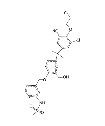 CC(C)(c1cc(Cl)c(OCCCl)c(C#N)c1)c1ccc(OCc2ccnc(NS(C)(=O)=O)n2)c(CO)c1